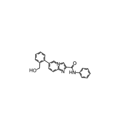 O=C(Nc1ccccc1)c1cn2cc(-c3ccccc3CO)ccc2n1